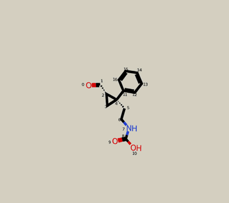 O=C[C@H]1C[C@]1(CCNC(=O)O)c1ccccc1